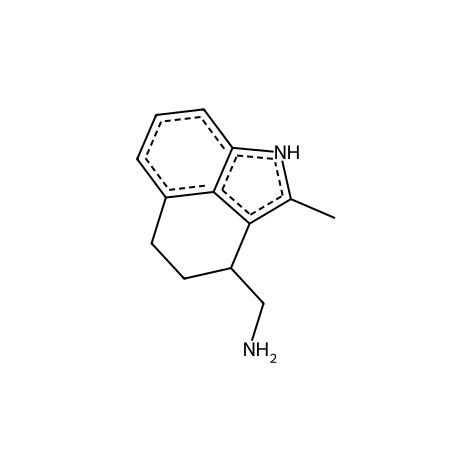 Cc1[nH]c2cccc3c2c1C(CN)CC3